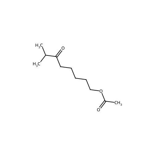 CC(=O)OCCCCCC(=O)C(C)C